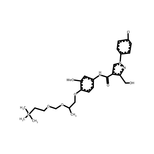 COc1cc(NC(=O)c2cn(-c3ccc(Cl)cc3)nc2CO)ccc1OCC(C)OCOCC[Si](C)(C)C